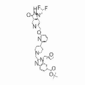 CC(C)(C)OC(=O)c1ccc2nc(CN3CCC(c4cccc(OCc5cc6c(cn5)c(=O)[nH]n6CC(F)F)n4)CC3)n(C[C@@H]3CCO3)c2c1